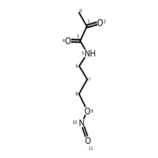 CC(=O)C(=O)NCCCON=O